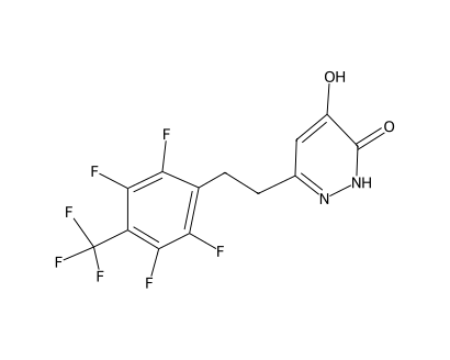 O=c1[nH]nc(CCc2c(F)c(F)c(C(F)(F)F)c(F)c2F)cc1O